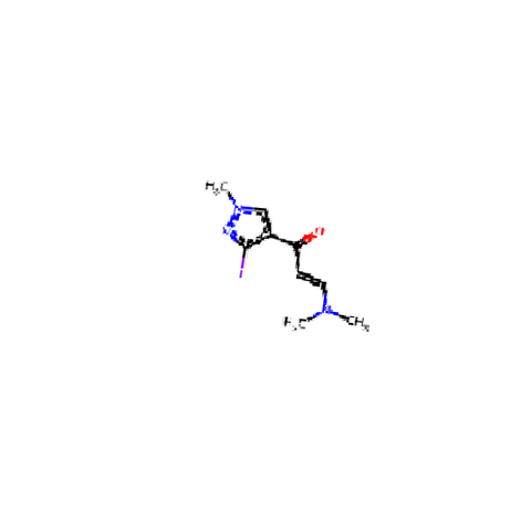 CN(C)C=CC(=O)c1cn(C)nc1I